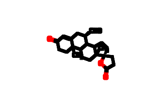 CC12CCC(=O)C=C1C[C@@H](C=O)C1C2CCC2(C)C1CC[C@@]21CCC(=O)O1